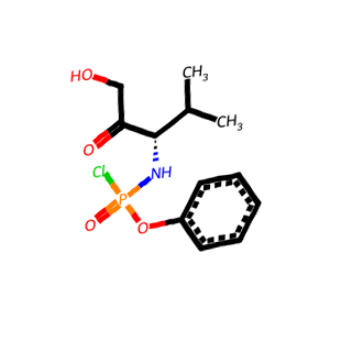 CC(C)[C@H](NP(=O)(Cl)Oc1ccccc1)C(=O)CO